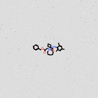 Cc1cc(C)c(NC(=O)C2([N+]3(CC(=O)OCc4ccccc4)CCCCCC3)CCC2)c(C)c1